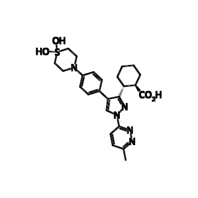 Cc1ccc(-n2cc(-c3ccc(N4CCS(O)(O)CC4)cc3)c([C@@H]3CCCC[C@H]3C(=O)O)n2)nn1